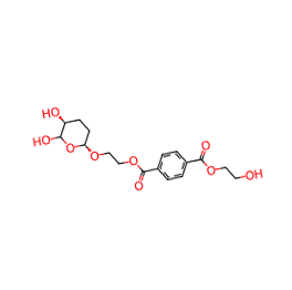 O=C(OCCO)c1ccc(C(=O)OCCO[C@@H]2CC[C@H](O)C(O)O2)cc1